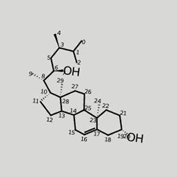 CC(C)[C@H](C)C[C@@H](O)[C@@H](C)[C@H]1CCC2C3CC=C4C[C@@H](O)CC[C@]4(C)C3CC[C@@]21C